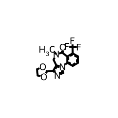 CN1Cc2c(C3OCCO3)ncn2-c2cccc(C(F)(F)F)c2C1=O